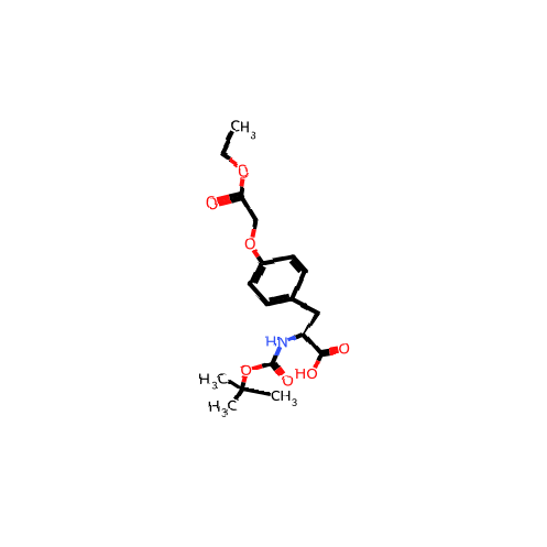 CCOC(=O)COc1ccc(C[C@H](NC(=O)OC(C)(C)C)C(=O)O)cc1